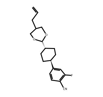 C=CCC1COC([C@H]2CC[C@H](c3ccc(C#N)c(F)c3)CC2)OC1